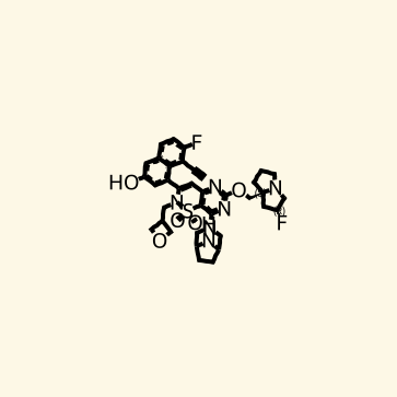 C#Cc1c(F)ccc2cc(O)cc(C3=Cc4nc(OC[C@@]56CCCN5C[C@H](F)C6)nc(N5CC6CCC(C5)N6)c4S(=O)(=O)N3CC3COC3)c12